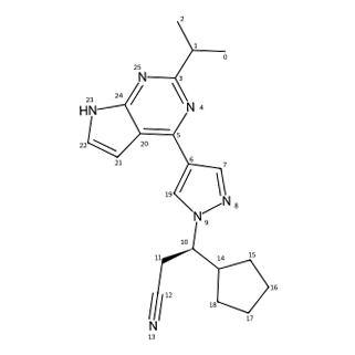 CC(C)c1nc(-c2cnn([C@H](CC#N)C3CCCC3)c2)c2cc[nH]c2n1